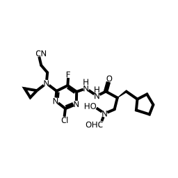 N#CCCN(c1nc(Cl)nc(NNC(=O)[C@@H](CC2CCCC2)CN(O)C=O)c1F)C1CC1